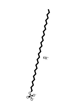 CCCCCCCCCCCCCCCCCCCCCCCCCCCCCCOP(=O)([O-])[O-].[K+].[K+]